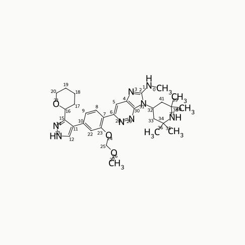 CNc1nc2cc(-c3ccc(-c4c[nH]nc4C4CCCCO4)cc3OCOC)nnc2n1C1CC(C)(C)NC(C)(C)C1